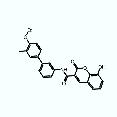 CCOc1ccc(-c2cccc(NC(=O)c3cc4cccc(O)c4oc3=O)c2)cc1C